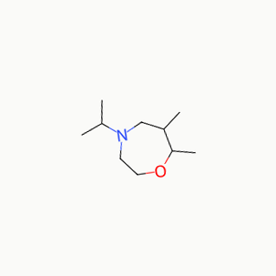 CC1CN(C(C)C)CCOC1C